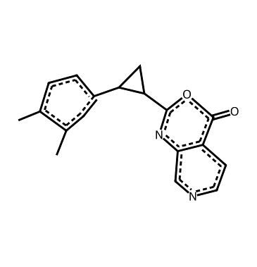 Cc1ccc(C2CC2c2nc3cnccc3c(=O)o2)cc1C